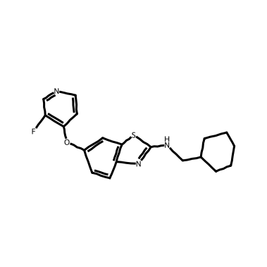 Fc1cnccc1Oc1ccc2nc(NCC3CCCCC3)sc2c1